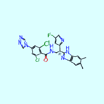 Cc1cc2nc([C@@H](CNC(=O)c3c(Cl)cc(-n4cnnc4)cc3Cl)c3cncc(F)c3)[nH]c2cc1C